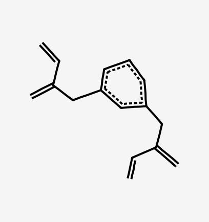 C=CC(=C)Cc1cccc(CC(=C)C=C)c1